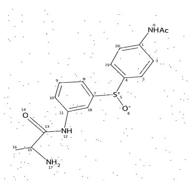 CC(=O)Nc1ccc([S+]([O-])c2cccc(NC(=O)C(C)N)c2)cc1